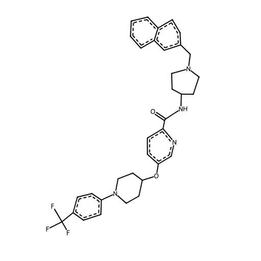 O=C(NC1CCN(Cc2ccc3ccccc3c2)CC1)c1ccc(OC2CCN(c3ccc(C(F)(F)F)cc3)CC2)cn1